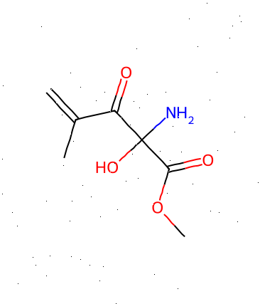 C=C(C)C(=O)C(N)(O)C(=O)OC